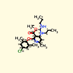 CCCNCN(CCC)c1cc(C)nc(Oc2c(C)cc(Cl)cc2C)c1C(=O)OC